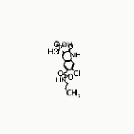 CCCNS(=O)(=O)c1cc2cc(P(=O)(O)O)c(=O)[nH]c2cc1Cl